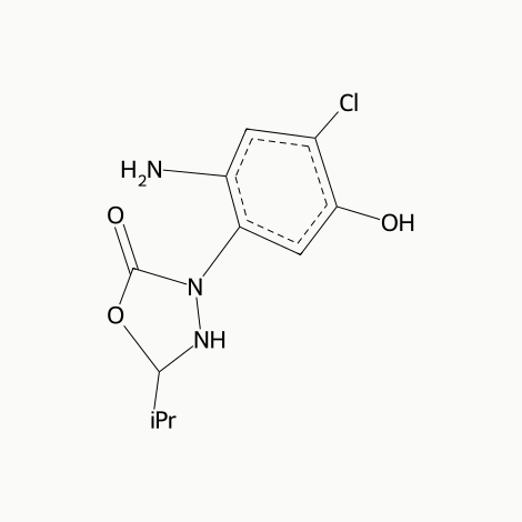 CC(C)C1NN(c2cc(O)c(Cl)cc2N)C(=O)O1